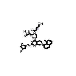 Cc1cccc2cccc(N3CCc4c(nc(OC[C@H]5C[C@@H](F)CN5C)nc4N4CCN(C(=O)/C=C/CO)[C@@H]([C@@H]([SiH3])C#N)C4)C3)c12